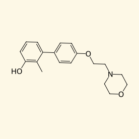 Cc1c(O)cccc1-c1ccc(OCCN2CCOCC2)cc1